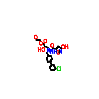 O=CCOC(=O)[C@H](O)CN(Cc1ccc(-c2cccc(Cl)c2)cc1)NC(=O)c1cc(O)no1